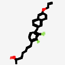 C=CCOc1ccc2cc(-c3ccc(C=CCCCC(C)O)c(F)c3F)ccc2c1